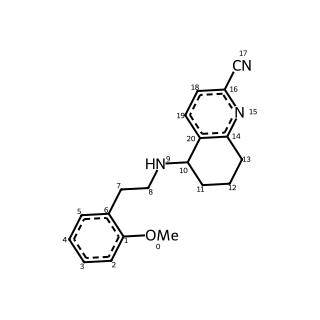 COc1ccccc1CCNC1CCCc2nc(C#N)ccc21